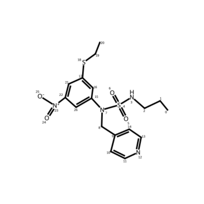 CCCNS(=O)(=O)N(Cc1ccncc1)c1cc(SCC)cc([N+](=O)[O-])c1